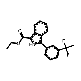 CCOC(=O)c1[nH]c(-c2cccc(C(F)(F)F)c2)c2ccccc12